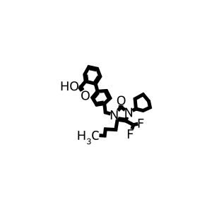 CCCCc1c(C(F)F)n(C2CCCCC2)c(=O)n1Cc1ccc(-c2ccccc2C(=O)O)cc1